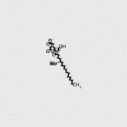 CCCCCCCCCCCCCCCCCC(=O)N(CCO)CCN(CC(=O)[O-])CC(=O)[O-].[Na+].[Na+]